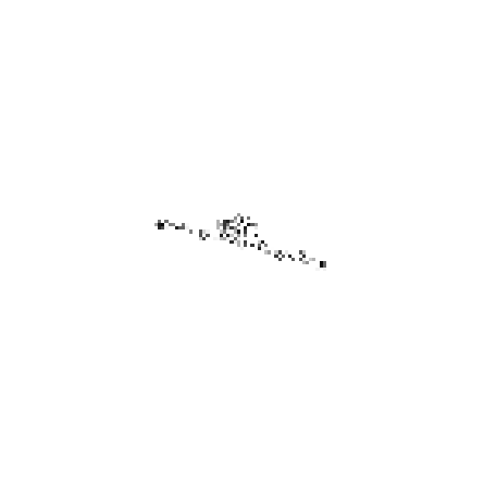 Cc1ccccc1S(=O)(=O)O.OCCOCCOCCOCCOCCOCCOCCOCCO